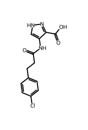 O=C(CCc1ccc(Cl)cc1)Nc1c[nH]nc1C(=O)O